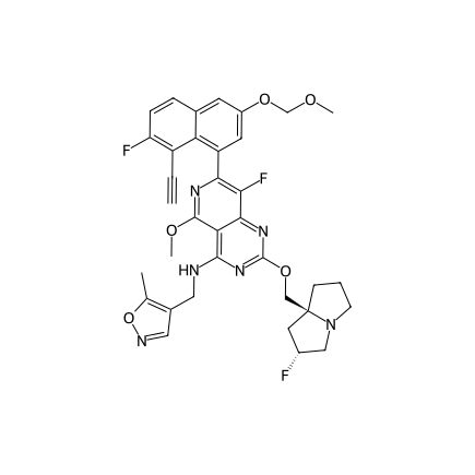 C#Cc1c(F)ccc2cc(OCOC)cc(-c3nc(OC)c4c(NCc5cnoc5C)nc(OC[C@@]56CCCN5C[C@H](F)C6)nc4c3F)c12